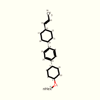 CCCCCCO[C@H]1CC[C@H](c2ccc([C@H]3CC[C@H](C=CC(F)(F)F)CC3)cc2)CC1